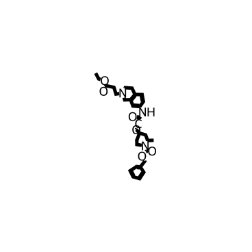 CCOC(=O)CCN1CCc2ccc(NC(=O)COC3CCN(C(=O)OCc4ccccc4)C(C)C3)cc2C1